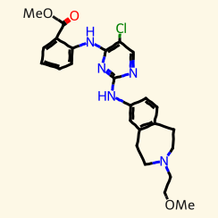 COCCN1CCc2ccc(Nc3ncc(Cl)c(Nc4ccccc4C(=O)OC)n3)cc2CC1